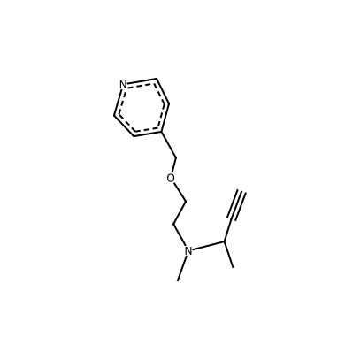 C#CC(C)N(C)CCOCc1ccncc1